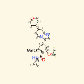 COc1cc(-c2cnc3cc(C4CCOCC4)ccn23)cc(OC(F)F)c1C(=O)NC1CC1